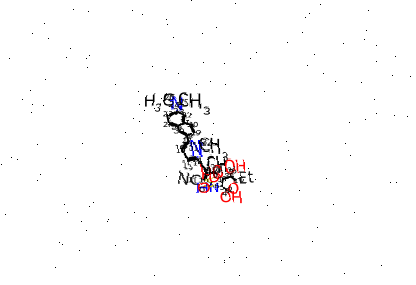 CC[C@H]1OC(O)[C@H](NS(=O)(=O)/C(C#N)=C(\C)c2ccc(-c3ccc4cc(N(C)C)ccc4c3)n2C)[C@@H](O)[C@@H]1O